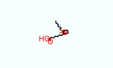 CC/C=C/CSC1C2CCC(O2)C1CCCCCCC(=O)O